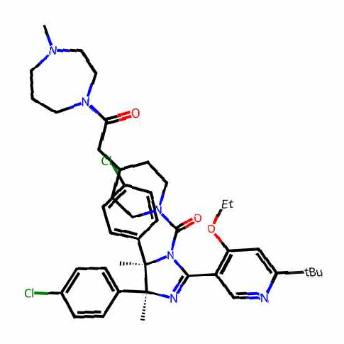 CCOc1cc(C(C)(C)C)ncc1C1=N[C@@](C)(c2ccc(Cl)cc2)[C@@](C)(c2ccc(Cl)cc2)N1C(=O)N1CCC(CC(=O)N2CCCN(C)CC2)CC1